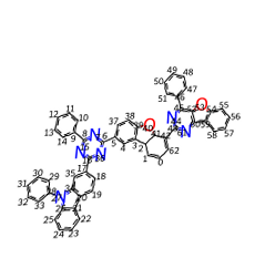 C1=CC2c3cc(-c4nc(-c5ccccc5)nc(-c5ccc6c7ccccc7n(-c7ccccc7)c6c5)n4)ccc3OC2C(c2nc(-c3ccccc3)c3oc4ccccc4c3n2)=C1